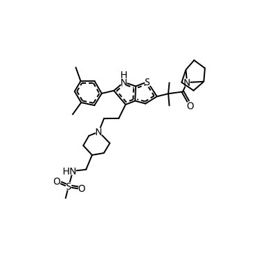 Cc1cc(C)cc(-c2[nH]c3sc(C(C)(C)C(=O)N4C5CCC4CC5)cc3c2CCN2CCC(CNS(C)(=O)=O)CC2)c1